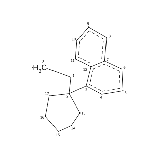 [CH2]CC1(c2cccc3ccccc23)CCCCC1